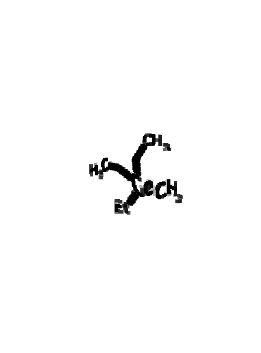 [CH2][CH2][Ge]([CH3])([CH3])[CH3]